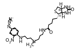 CN(CCCNC(=O)CCCC[C@@H]1SC[C@@H]2NC(=O)N[C@@H]21)CCCNc1ccc(N=[N+]=[N-])cc1[N+](=O)[O-]